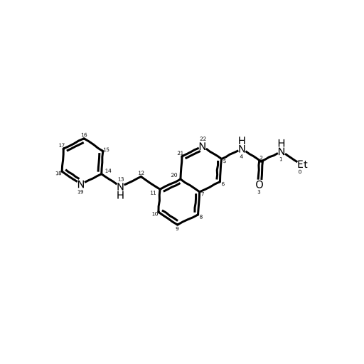 CCNC(=O)Nc1cc2cccc(CNc3ccccn3)c2cn1